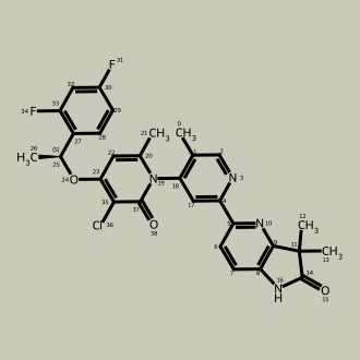 Cc1cnc(-c2ccc3c(n2)C(C)(C)C(=O)N3)cc1-n1c(C)cc(O[C@@H](C)c2ccc(F)cc2F)c(Cl)c1=O